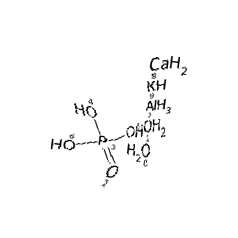 O.O.O=P(O)(O)O.[AlH3].[CaH2].[KH]